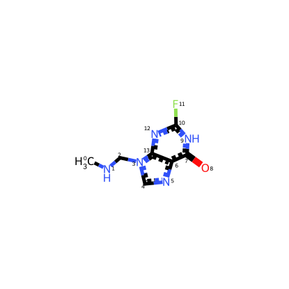 CNCn1cnc2c(=O)[nH]c(F)nc21